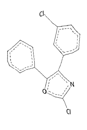 Clc1cccc(-c2nc(Cl)oc2-c2ccccc2)c1